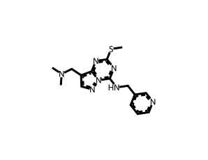 CSc1nc(NCc2cccnc2)n2ncc(CN(C)C)c2n1